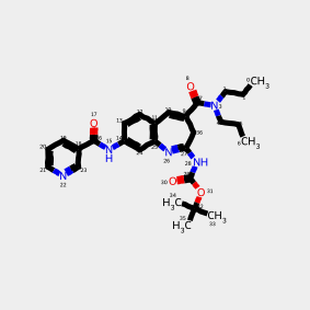 CCCN(CCC)C(=O)C1=Cc2ccc(NC(=O)c3cccnc3)cc2N=C(NC(=O)OC(C)(C)C)C1